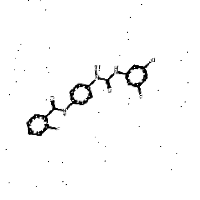 O=C(Nc1ccc(N(S)C(=O)Nc2cc(Cl)cc(Cl)c2)cc1)c1ccccc1F